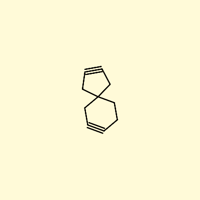 C1#CCC2(CC#CC2)CC1